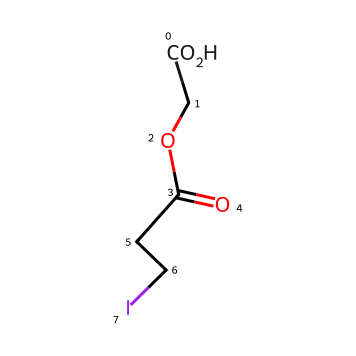 O=C(O)COC(=O)CCI